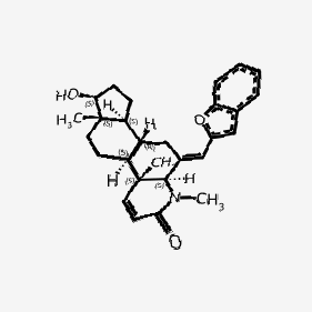 CN1C(=O)C=C[C@]2(C)[C@H]3CC[C@]4(C)[C@@H](O)CC[C@H]4[C@@H]3CC(=Cc3cc4ccccc4o3)[C@@H]12